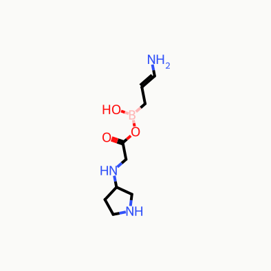 NC=CCB(O)OC(=O)CNC1CCNC1